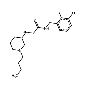 CCCCN1CCCC(NCC(=O)NCc2cccc(Cl)c2F)C1